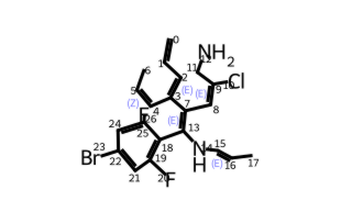 C=C/C=C(\C=C/C)C(/C=C(/Cl)CN)=C(/N/C=C/C)c1c(F)cc(Br)cc1F